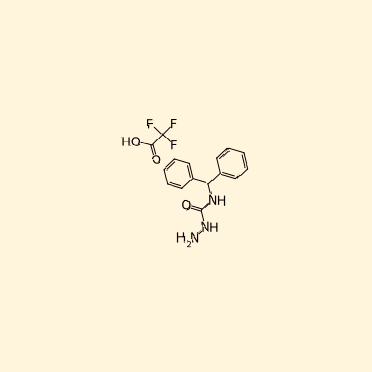 NNC(=O)NC(c1ccccc1)c1ccccc1.O=C(O)C(F)(F)F